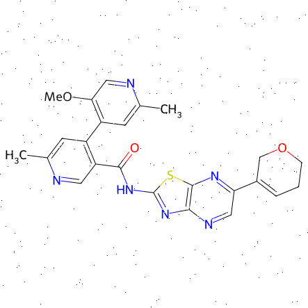 COc1cnc(C)cc1-c1cc(C)ncc1C(=O)Nc1nc2ncc(C3=CCCOC3)nc2s1